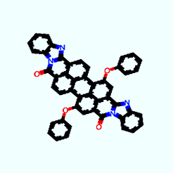 O=c1c2ccc3c4c(Oc5ccccc5)cc5c(=O)n6c7ccccc7nc6c6cc(Oc7ccccc7)c(c7ccc(c2c37)c2nc3ccccc3n12)c4c56